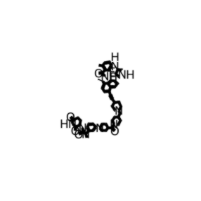 Cc1ccc(N[C@H]2CNCC2(F)F)cc1C(=O)N[C@H](C)c1ccc(C#CC2CCN(CC3CCN(C(=O)C4CCN(c5ccc6c(c5)n(C)c(=O)n6C5CCC(=O)NC5=O)CC4)CC3)CC2)c2ccccc12